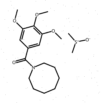 COc1cc(C(=O)N2CCCCCCC2)cc(OC)c1OC.C[S+](C)[O-]